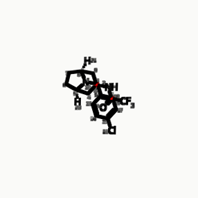 O=C(N[C@H]1C[C@H]2CC[C@@H](C1)N2Cc1ccc(Cl)cc1)C(F)(F)F